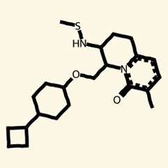 CSNC1CCc2ccc(C)c(=O)n2C1COC1CCC(C2CCC2)CC1